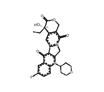 CC[C@@]1(O)C(=O)OCc2c1cc1n(c2=O)Cc2c-1c(=O)c1cc(F)ccc1n2C1CCOCC1